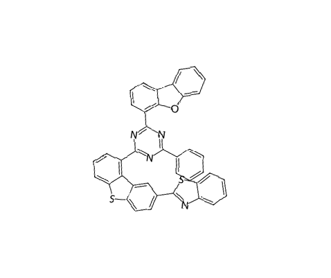 c1ccc(-c2nc(-c3cccc4c3oc3ccccc34)nc(-c3cccc4sc5ccc(-c6nc7ccccc7s6)cc5c34)n2)cc1